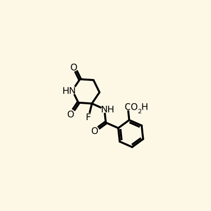 O=C1CCC(F)(NC(=O)c2ccccc2C(=O)O)C(=O)N1